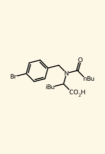 CCCCC(=O)N(Cc1ccc(Br)cc1)C(C(=O)O)C(C)CC